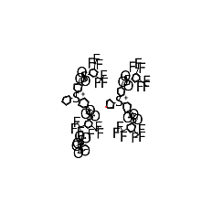 CC(S(=O)(=O)[O-])S(=O)(=O)[O-].O=S(=O)(Oc1ccc([S+](c2ccccc2)c2ccc(OS(=O)(=O)c3cc(C(F)(F)F)cc(C(F)(F)F)c3)cc2)cc1)c1cc(C(F)(F)F)cc(C(F)(F)F)c1.O=S(=O)(Oc1ccc([S+](c2ccccc2)c2ccc(OS(=O)(=O)c3cc(C(F)(F)F)cc(C(F)(F)F)c3)cc2)cc1)c1cc(C(F)(F)F)cc(C(F)(F)F)c1